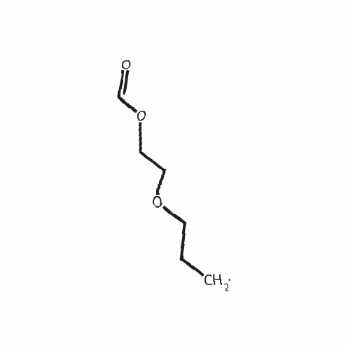 [CH2]CCOCCOC=O